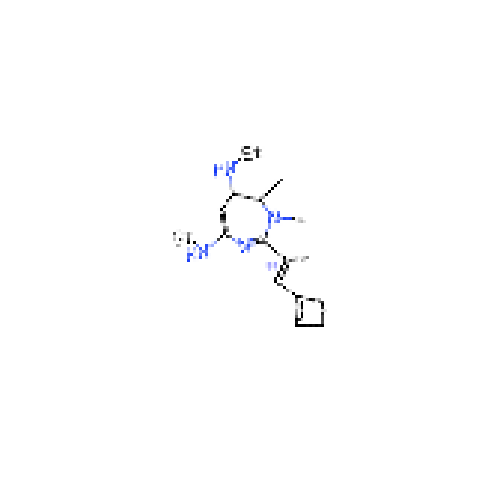 CCNC1C=C(NC(C)C)N=C(/C(C)=C/C2=CCC2)N(C)C1C